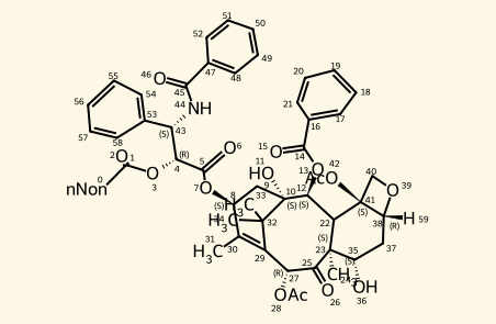 CCCCCCCCCC(=O)O[C@@H](C(=O)O[C@H]1C[C@@]2(O)[C@@H](OC(=O)c3ccccc3)C3[C@](C)(C(=O)[C@H](OC(C)=O)C(=C1C)C2(C)C)[C@@H](O)C[C@H]1OC[C@@]31OC(C)=O)[C@@H](NC(=O)c1ccccc1)c1ccccc1